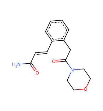 NC(=O)/C=C/c1ccccc1CC(=O)N1CCOCC1